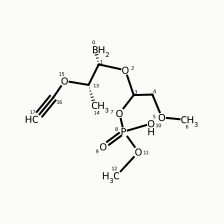 B[C@H](OC(COC)OP(=O)(O)OC)[C@H](C)OC#C